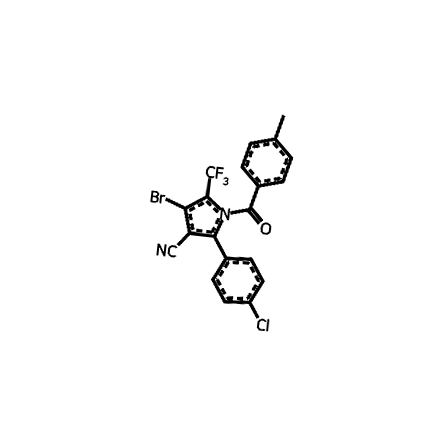 Cc1ccc(C(=O)n2c(-c3ccc(Cl)cc3)c(C#N)c(Br)c2C(F)(F)F)cc1